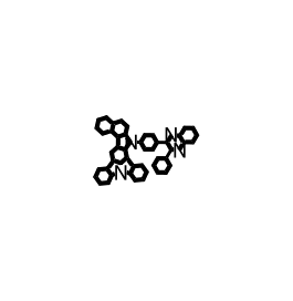 c1ccc(-c2nc3ccccc3nc2-c2ccc(-n3c4ccc5ccccc5c4c4cc5c6ccccc6n6c7ccccc7c(c43)c56)cc2)cc1